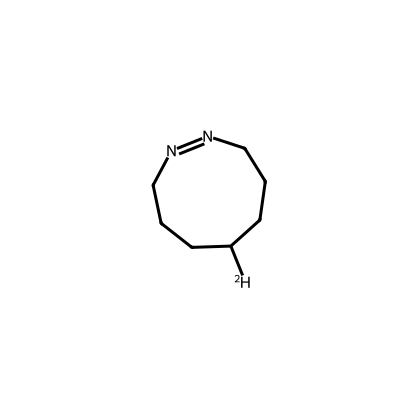 [2H]C1CCCN=NCCC1